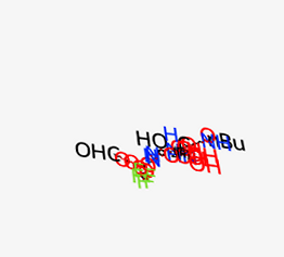 CCCCC(=O)NCCCCCCOC1(C(=O)O)CC(O)C(NC(=O)CO)C([C@H](O)[C@H](O)CNC(=O)Cc2ccc(-c3cn(CCOCC(OCCOCCOCCC=O)Oc4c(F)c(F)c(F)c(F)c4F)nn3)cc2)O1